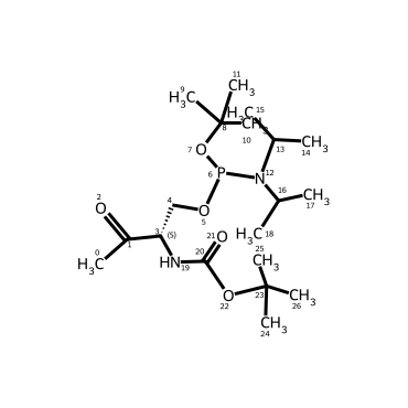 CC(=O)[C@H](COP(OC(C)(C)C)N(C(C)C)C(C)C)NC(=O)OC(C)(C)C